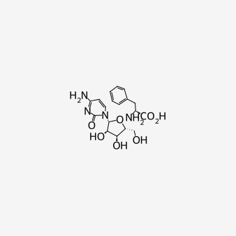 N[C@@H](Cc1ccccc1)C(=O)O.Nc1ccn([C@@H]2O[C@H](CO)[C@@H](O)[C@H]2O)c(=O)n1